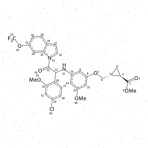 COC(=O)[C@@H]1C[C@H]1COc1cc(NC(C(=O)n2ccc3ccc(OC(F)(F)F)cc32)c2ccc(Cl)cc2OC)cc(OC)c1